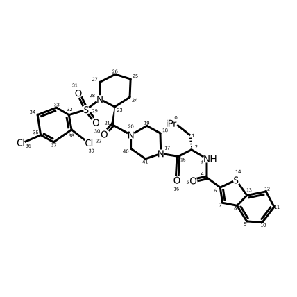 CC(C)C[C@H](NC(=O)c1cc2ccccc2s1)C(=O)N1CCN(C(=O)[C@@H]2CCCCN2S(=O)(=O)c2ccc(Cl)cc2Cl)CC1